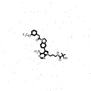 CCCC(C)(C)C(=O)NCCCn1cc(-c2ccc3c(c2)CCN3C(=O)Cc2cccc(OC(F)(F)F)c2)c2c(N)ncnc21